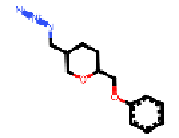 [N-]=[N+]=NCC1CCC(COc2ccccc2)OC1